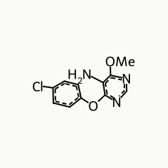 COc1ncnc(Oc2ccc(Cl)cc2)c1N